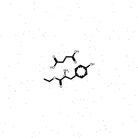 CCOC(=O)[C@@H](N)Cc1ccc(O)cc1.O=C(O)CCC(=O)O